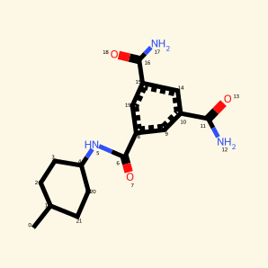 CC1CCC(NC(=O)c2cc(C(N)=O)cc(C(N)=O)c2)CC1